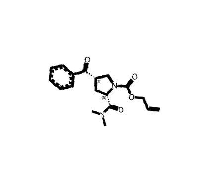 C=CCOC(=O)N1C[C@@H](C(=O)c2ccccc2)C[C@H]1C(=O)N(C)C